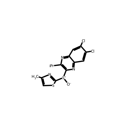 Cc1csc([S+]([O-])c2nc3cc(Cl)c(Cl)cc3nc2C(C)C)n1